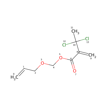 C=CCOCOC(=O)C(=C)C(C)(Cl)Cl